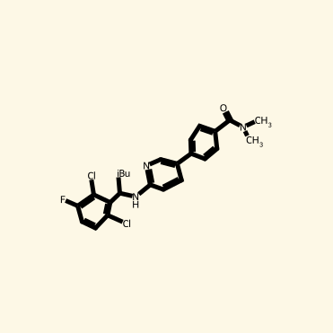 CCC(C)C(Nc1ccc(-c2ccc(C(=O)N(C)C)cc2)cn1)c1c(Cl)ccc(F)c1Cl